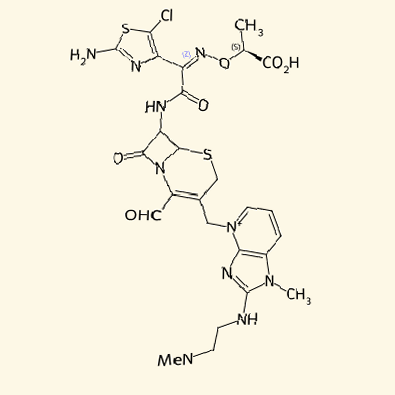 CNCCNc1nc2c(ccc[n+]2CC2=C(C=O)N3C(=O)C(NC(=O)/C(=N\O[C@@H](C)C(=O)O)c4nc(N)sc4Cl)C3SC2)n1C